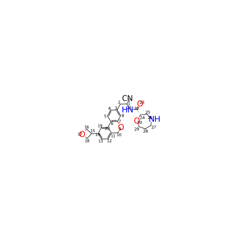 N#CC(Cc1ccc2c(c1)OCc1ccc(C3COC3)cc1-2)NC(=O)[C@@H]1CNCCCO1